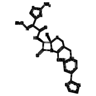 CON=C(C(=O)N[C@@H]1C(=O)N2C(C(=O)[O-])=C(C[n+]3ccc(-c4ncco4)cc3)CS[C@@H]12)c1csc(N)n1